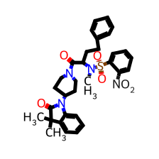 CN(C(CCc1ccccc1)C(=O)N1CCC(N2C(=O)C(C)(C)c3ccccc32)CC1)S(=O)(=O)c1ccccc1[N+](=O)[O-]